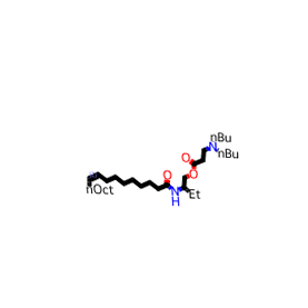 CCCCCCCC/C=C\CCCCCCCC(=O)NC(CC)COC(=O)CCN(CCCC)CCCC